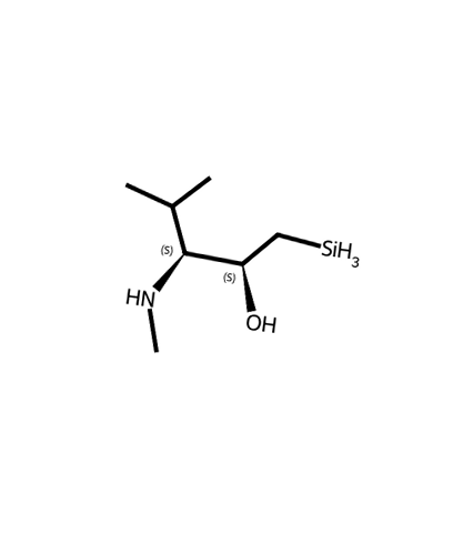 CN[C@@H](C(C)C)[C@H](O)C[SiH3]